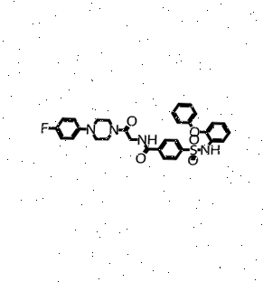 O=C(NCC(=O)N1CCN(c2ccc(F)cc2)CC1)c1ccc(S(=O)(=O)Nc2ccccc2Oc2ccccc2)cc1